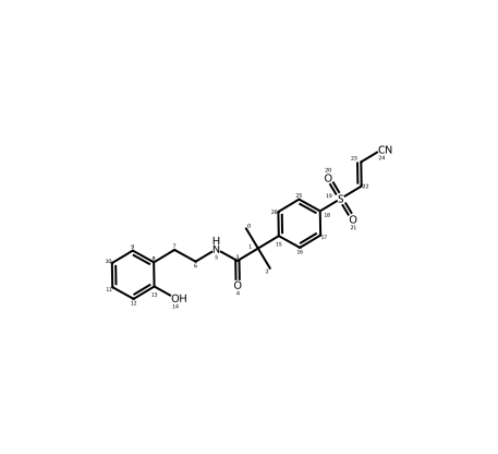 CC(C)(C(=O)NCCc1ccccc1O)c1ccc(S(=O)(=O)C=CC#N)cc1